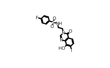 O=c1c2ccc(I)c(O)c2ncn1CCNS(=O)(=O)c1ccc(F)cc1